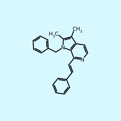 Cc1c(C)n(Cc2ccccc2)c2c(/C=C/c3ccccc3)nccc12